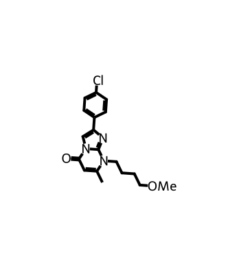 COCCCCn1c(C)cc(=O)n2cc(-c3ccc(Cl)cc3)nc12